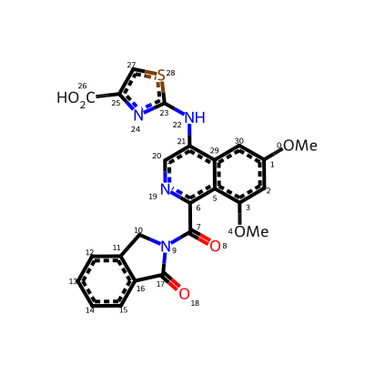 COc1cc(OC)c2c(C(=O)N3Cc4ccccc4C3=O)ncc(Nc3nc(C(=O)O)cs3)c2c1